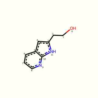 OCCc1cc2cccnc2[nH]1